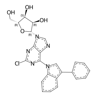 OC[C@H]1O[C@@H](n2cnc3c(-n4cc(-c5ccccc5)c5ccccc54)nc(Cl)nc32)[C@H](O)[C@@H]1O